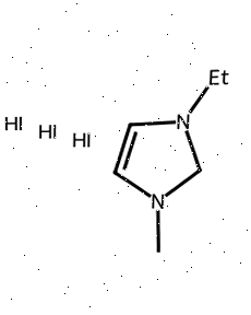 CCN1C=CN(C)C1.I.I.I